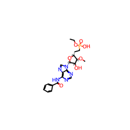 CCOP(=O)(O)CC[C@H]1O[C@@H](n2cnc3c(NC(=O)c4ccccc4)ncnc32)[C@H](O)[C@@H]1OC